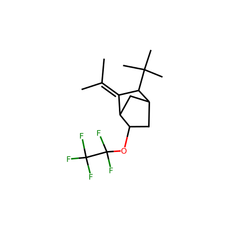 CC(C)=C1C2CC(CC2OC(F)(F)C(F)(F)F)C1C(C)(C)C